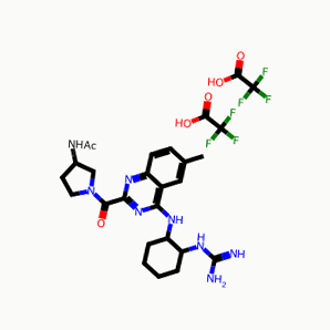 CC(=O)NC1CCN(C(=O)c2nc(NC3CCCCC3NC(=N)N)c3cc(C)ccc3n2)C1.O=C(O)C(F)(F)F.O=C(O)C(F)(F)F